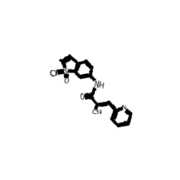 N#CC(=Cc1ccccn1)C(=O)Nc1ccc2c(c1)S(=O)(=O)C=C2